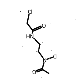 CC(=O)N(Cl)[CH]CNC(=O)CCl